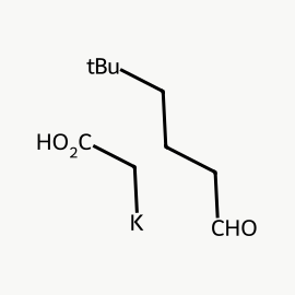 CC(C)(C)CCCC=O.O=C(O)[CH2][K]